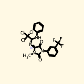 CN1C(=O)N(c2cccc(C(F)(F)F)c2)C(=O)/C1=N\C(Nc1ccccc1)C(Cl)(Cl)Cl